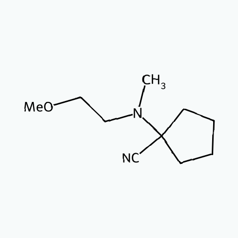 COCCN(C)C1(C#N)CCCC1